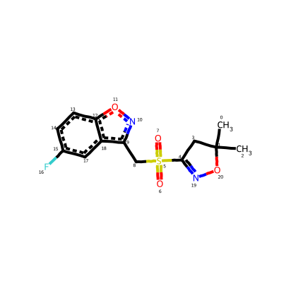 CC1(C)CC(S(=O)(=O)Cc2noc3ccc(F)cc23)=NO1